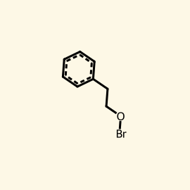 BrOCCc1ccccc1